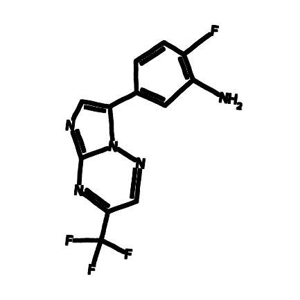 Nc1cc(-c2cnc3nc(C(F)(F)F)cnn23)ccc1F